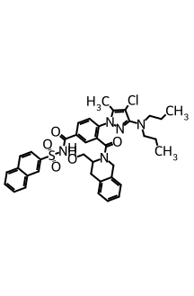 CCCN(CCC)c1nn(-c2ccc(C(=O)NS(=O)(=O)c3ccc4ccccc4c3)cc2C(=O)N2Cc3ccccc3CC2CO)c(C)c1Cl